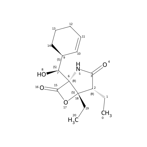 CC[C@H]1C(=O)N[C@@]2([C@@H](O)[C@@H]3C=CCCC3)C(=O)O[C@@]12CC